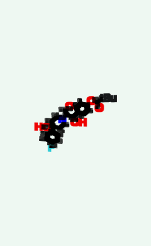 CC(C)(C)C(=O)Oc1ccc2c(c1)OC[C@@H](N1CCC(O)(c3ccc(F)cc3)CC1)[C@H]2O